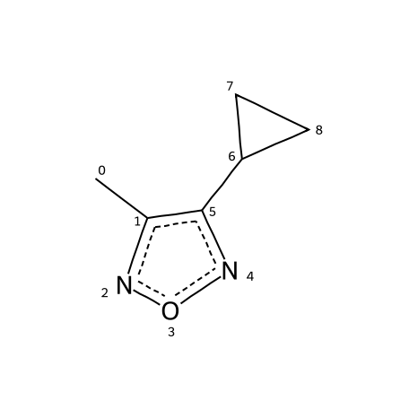 Cc1nonc1C1CC1